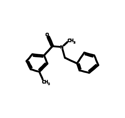 Cc1cccc(C(=O)N(C)Cc2ccccc2)c1